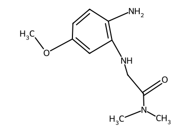 COc1ccc(N)c(NCC(=O)N(C)C)c1